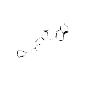 Cc1nc2ccc(C(=O)NCc3ccccn3)cc2n1Cc1ccc2ccccc2c1